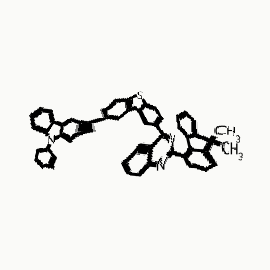 CC1(C)c2ccccc2-c2c(-c3nc(-c4ccc5sc6ccc(-c7ccc8c(c7)c7ccccc7n8-c7ccccc7)cc6c5c4)c4ccccc4n3)cccc21